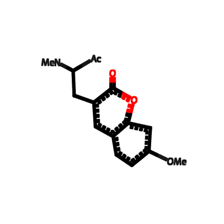 CNC(Cc1cc2ccc(OC)cc2oc1=O)C(C)=O